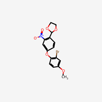 COc1ccc(Oc2ccc(C3OCCO3)c([N+](=O)[O-])c2)c(Br)c1